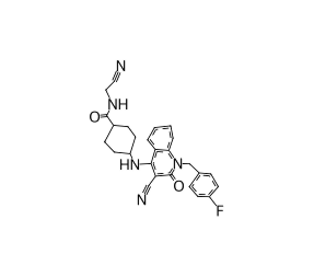 N#CCNC(=O)C1CCC(Nc2c(C#N)c(=O)n(Cc3ccc(F)cc3)c3ccccc23)CC1